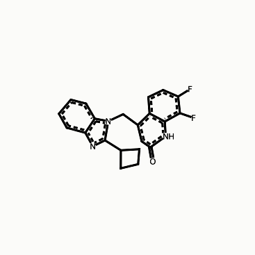 O=c1cc(Cn2c(C3CCC3)nc3ccccc32)c2ccc(F)c(F)c2[nH]1